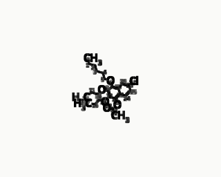 CCCCCCOc1c(OCCC)c(OCCC)c(OC(C)=O)c2ccc(Cl)cc12